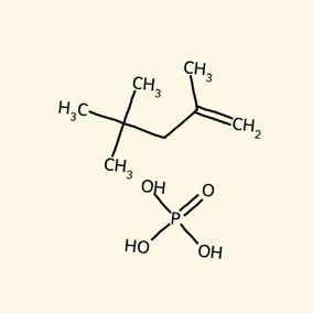 C=C(C)CC(C)(C)C.O=P(O)(O)O